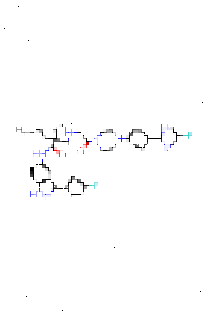 C=CCC1(C(=O)Nc2ccc3[nH]nc(-c4ccc(F)cc4)c3c2)CCN(CC(=O)N2CCN(c3ccc(-c4ncc(F)cn4)cc3)CC2)C1